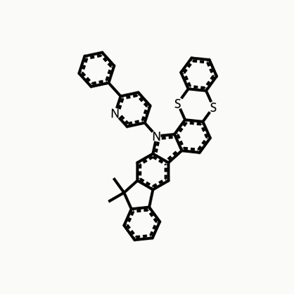 CC1(C)c2ccccc2-c2cc3c4ccc5c(c4n(-c4ccc(-c6ccccc6)nc4)c3cc21)Sc1ccccc1S5